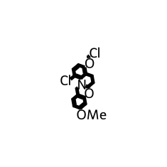 COc1ccc(CN2C(=O)CCc3c(OCCl)ccc(Cl)c32)cc1